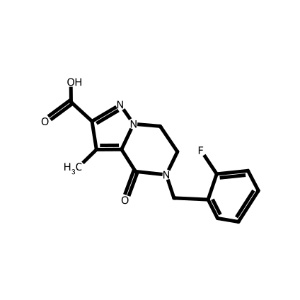 Cc1c(C(=O)O)nn2c1C(=O)N(Cc1ccccc1F)CC2